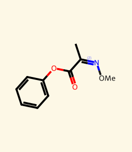 CO/N=C(/C)C(=O)Oc1ccccc1